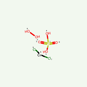 O=S(=O)(O)O.OO.[Cl][Cu][Cl]